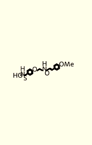 COc1ccc(/C=C/C(=O)NCCCOc2ccc(C(=S)NO)cc2)cc1